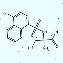 N[C@](CO)(NS(=O)(=O)c1ccc(Br)c2ccccc12)C(=O)O